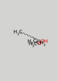 CCCCCCCC/C=C/CC(CC(=O)O)C(C)(C)C